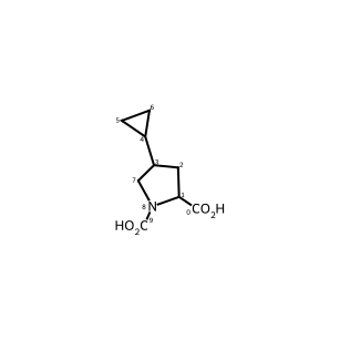 O=C(O)C1CC(C2CC2)CN1C(=O)O